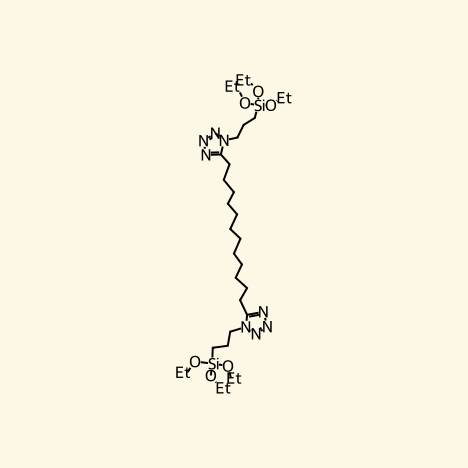 CCO[Si](CCCn1nnnc1CCCCCCCCCCCCc1nnnn1CCC[Si](OCC)(OCC)OCC)(OCC)OCC